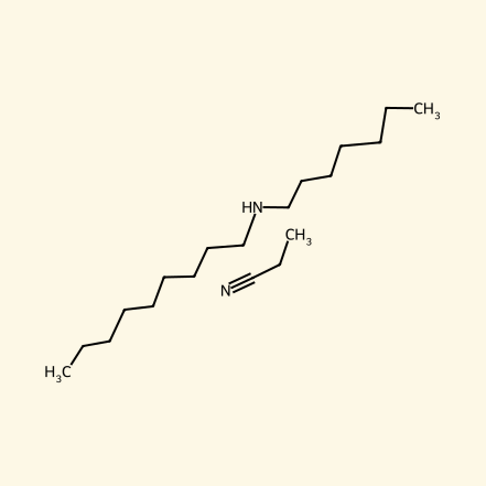 CCC#N.CCCCCCCCCNCCCCCCC